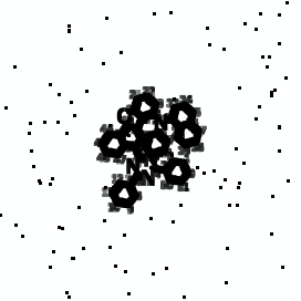 c1ccc(-c2nc(-c3ccccc3)nc(-c3cc4c(oc5cccc(N(c6ccccc6)c6cccc7ccccc67)c54)c4ccccc34)n2)cc1